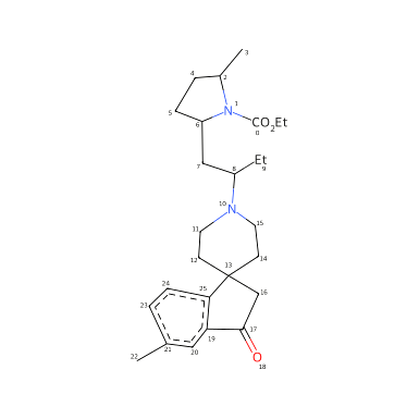 CCOC(=O)N1C(C)CCC1CC(CC)N1CCC2(CC1)CC(=O)c1cc(C)ccc12